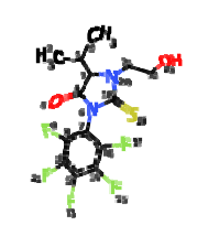 CC(C)C1C(=O)N(c2c(F)c(F)c(F)c(F)c2F)C(=S)N1CCO